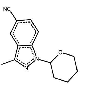 Cc1nn(C2CCCCO2)c2ccc(C#N)cc12